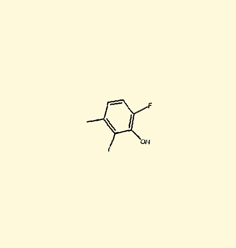 Cc1ccc(F)c(O)c1I